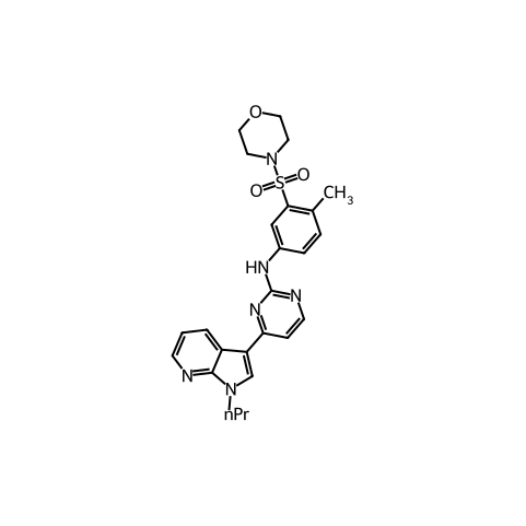 CCCn1cc(-c2ccnc(Nc3ccc(C)c(S(=O)(=O)N4CCOCC4)c3)n2)c2cccnc21